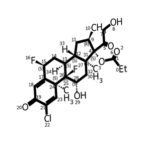 CCC(=O)O[C@@]1(C(=O)CO)[C@H](C)C[C@H]2[C@@H]3C[C@H](F)C4=CC(=O)C(Cl)=C[C@]4(C)[C@@]3(F)[C@@H](O)C[C@@]21C